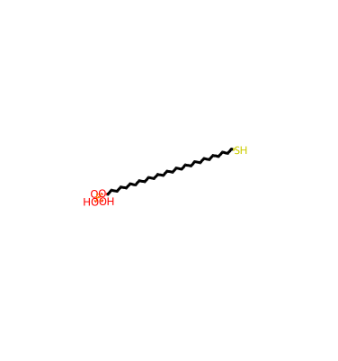 O=P(O)(O)OCCCCCCCCCCCCCCCCCCCCCCCCCCCCS